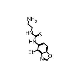 CCc1c(NC(=S)NCCN)ccc2ocnc12